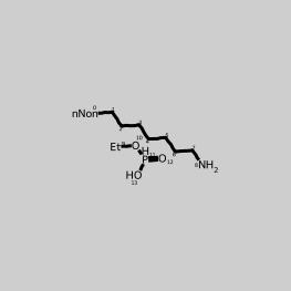 CCCCCCCCCCCCCCCCN.CCO[PH](=O)O